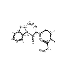 CC(C)[C@H](NC[C@H](C)N(C)C(=O)OC(C)(C)C)C(=O)N1c2ncccc2C[C@@H]1C(=O)O